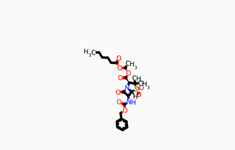 CCCCCC(=O)OC(C)OC(=O)[C@@H]1N2C(=O)C(NC(=O)OCc3ccccc3)[C@H]2S(=O)(=O)C1(C)C